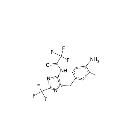 Cc1cc(Cn2nc(C(F)(F)F)nc2NC(=O)C(F)(F)F)ccc1N